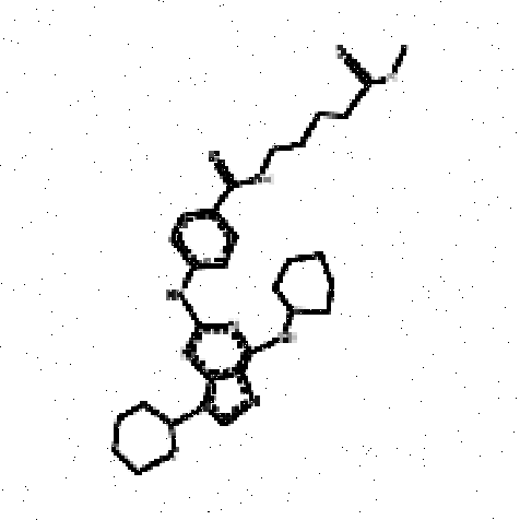 COC(=O)CCCCNC(=O)c1ccc(Nc2nc(NC3CCCCC3)c3ncn(C4CCCCO4)c3n2)cc1